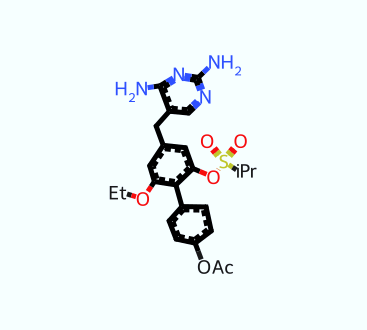 CCOc1cc(Cc2cnc(N)nc2N)cc(OS(=O)(=O)C(C)C)c1-c1ccc(OC(C)=O)cc1